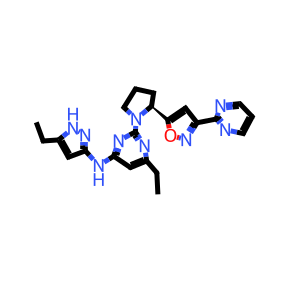 CCc1cc(Nc2cc(CC)[nH]n2)nc(N2CCC[C@H]2c2cc(-c3ncccn3)no2)n1